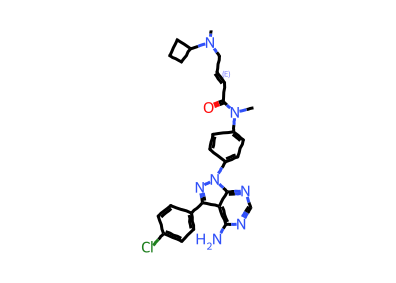 CN(C(=O)/C=C/CN(C)C1CCC1)c1ccc(-n2nc(-c3ccc(Cl)cc3)c3c(N)ncnc32)cc1